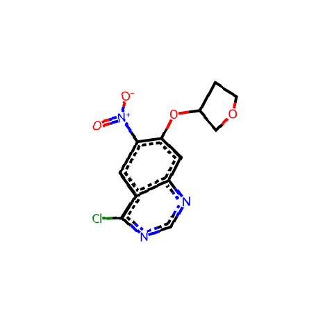 O=[N+]([O-])c1cc2c(Cl)ncnc2cc1OC1CCOC1